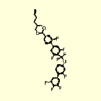 C=CCCC1COC(c2ccc(-c3cc(F)c(C(F)(F)Oc4ccc(-c5cc(F)c(F)c(F)c5)c(F)c4)c(F)c3)c(F)c2)OC1